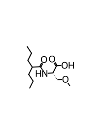 CCCC(CCC)C(=O)N[C@@H](COC)C(=O)O